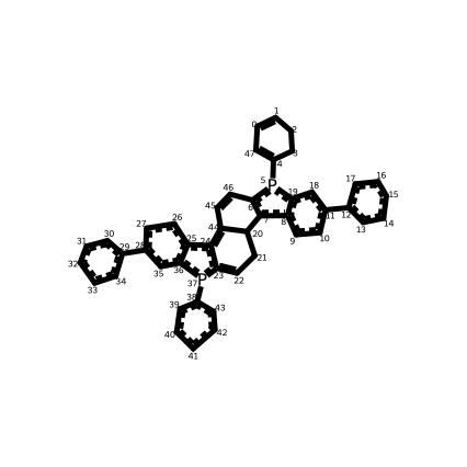 C1=CCCC(p2c3c(c4ccc(-c5ccccc5)cc42)C2CC=c4c(c5ccc(-c6ccccc6)cc5p4-c4ccccc4)=C2C=C3)=C1